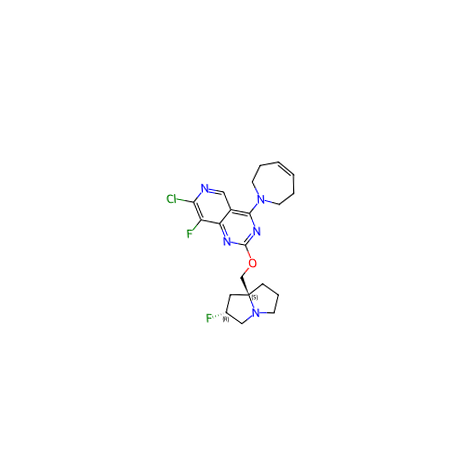 Fc1c(Cl)ncc2c(N3CCC=CCC3)nc(OC[C@@]34CCCN3C[C@H](F)C4)nc12